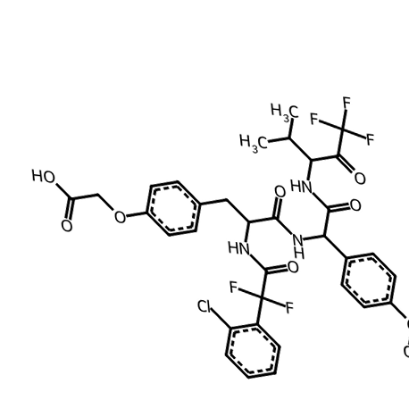 COc1ccc(C(NC(=O)C(Cc2ccc(OCC(=O)O)cc2)NC(=O)C(F)(F)c2ccccc2Cl)C(=O)NC(C(=O)C(F)(F)F)C(C)C)cc1